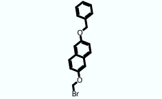 BrCOc1ccc2cc(OCc3ccccc3)ccc2c1